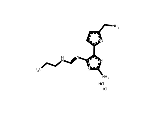 CCCNC=Nc1sc(N)nc1-c1ccc(CN)o1.Cl.Cl